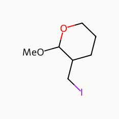 COC1OCCCC1CI